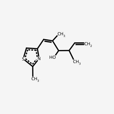 C=CC(C)C(O)C(C)=Cc1csc(C)n1